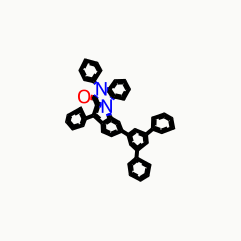 O=c1c2c(-c3ccccc3)c3ccc(-c4cc(-c5ccccc5)cc(-c5ccccc5)c4)cc3n2c2ccccc2n1-c1ccccc1